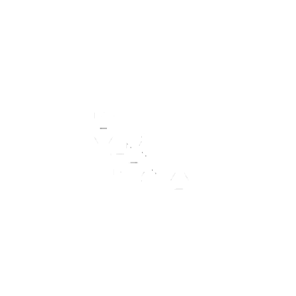 O=C1c2c(O)c(=O)n(C3CCS(O)(O)c4ccccc43)c(=O)n2CCN1Cc1ccc(F)cc1